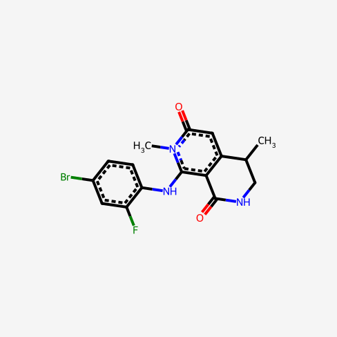 CC1CNC(=O)c2c1cc(=O)n(C)c2Nc1ccc(Br)cc1F